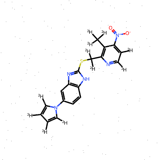 [2H]c1nc(C([2H])([2H])Sc2nc3cc(-n4c([2H])c([2H])c([2H])c4[2H])ccc3[nH]2)c(C([2H])([2H])[2H])c([N+](=O)[O-])c1[2H]